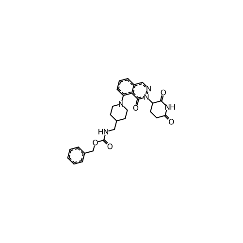 O=C1CCC(n2ncc3cccc(N4CCC(CNC(=O)OCc5ccccc5)CC4)c3c2=O)C(=O)N1